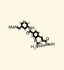 CCCN(CCC)C(=O)C1=Cc2ccc(C(=O)Nc3cncc(CNC)c3)cc2N=C(N)C1